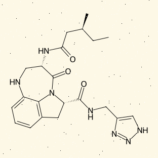 CC[C@H](C)CC(=O)N[C@H]1CNc2cccc3c2N(C1=O)[C@H](C(=O)NCc1c[nH]nn1)C3